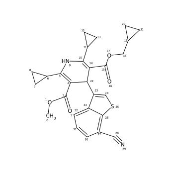 COC(=O)C1=C(C2CC2)NC(C2CC2)=C(C(=O)OCC2CC2)C1c1csc2c(C#N)cccc12